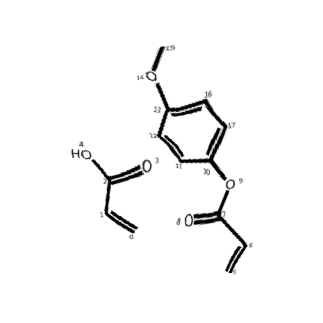 C=CC(=O)O.C=CC(=O)Oc1ccc(OC)cc1